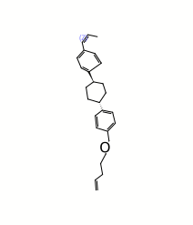 C=CCCCOCc1ccc([C@H]2CC[C@H](c3ccc(/C=C\C)cc3)CC2)cc1